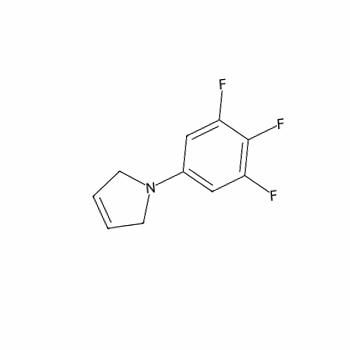 Fc1cc(N2CC=CC2)cc(F)c1F